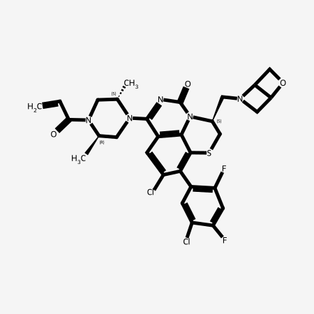 C=CC(=O)N1C[C@H](C)N(c2nc(=O)n3c4c(c(-c5cc(Cl)c(F)cc5F)c(Cl)cc24)SC[C@@H]3CN2CC3OCC32)C[C@H]1C